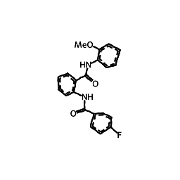 COc1ccccc1NC(=O)c1ccccc1NC(=O)c1ccc(F)cc1